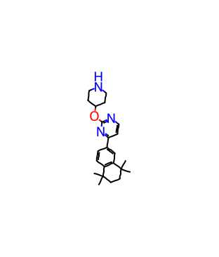 CC1(C)CCC(C)(C)c2cc(-c3ccnc(OC4CCNCC4)n3)ccc21